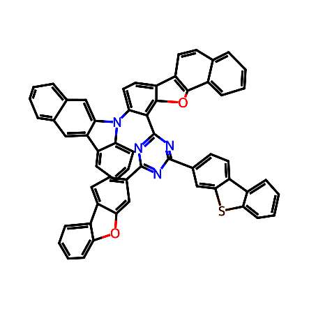 c1ccc2cc3c(cc2c1)c1ccccc1n3-c1ccc2c(oc3c4ccccc4ccc23)c1-c1nc(-c2ccc3c(c2)oc2ccccc23)nc(-c2ccc3c(c2)sc2ccccc23)n1